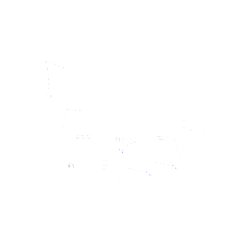 CC(C)Cc1sc(Nc2ncc(-c3cccs3)cc2C(=O)O)nc1-c1ccc(OC2CC2)cc1